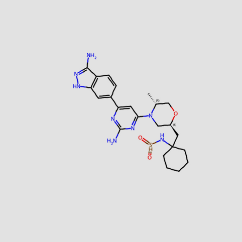 C[C@@H]1CO[C@@H](CC2(N[SH](=O)=O)CCCCC2)CN1c1cc(-c2ccc3c(N)n[nH]c3c2)nc(N)n1